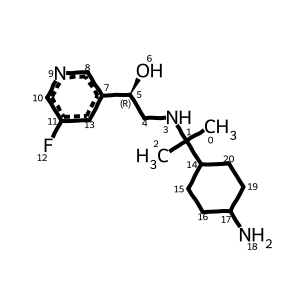 CC(C)(NC[C@H](O)c1cncc(F)c1)C1CCC(N)CC1